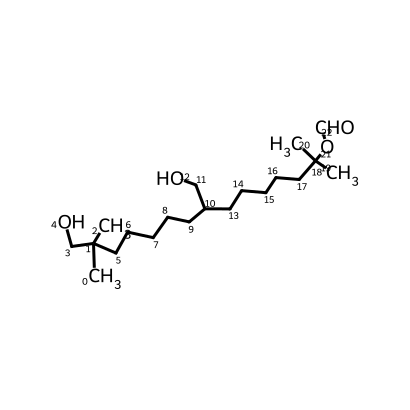 CC(C)(CO)CCCCCC(CO)CCCCCC(C)(C)OC=O